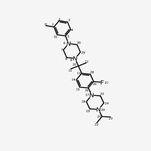 Cc1cccc(N2CCN(C(C)(C)c3ccc(N4CCN(C(C)C)CC4)c(F)c3)CC2)c1